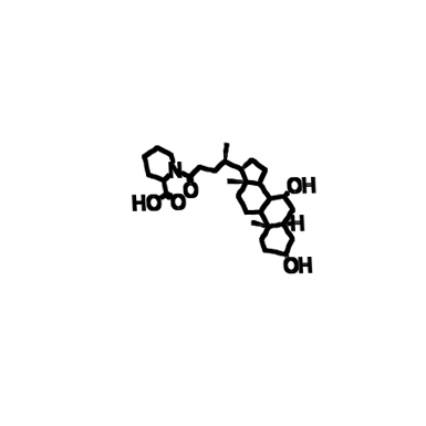 C[C@H](CCC(=O)N1CCCCC1C(=O)O)[C@H]1CCC2C3C(CC[C@@]21C)[C@@]1(C)CC[C@@H](O)C[C@H]1C[C@@H]3O